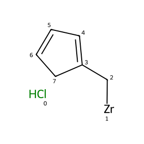 Cl.[Zr][CH2]C1=CC=CC1